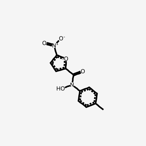 Cc1ccc(N(O)C(=O)c2ccc([N+](=O)[O-])o2)cc1